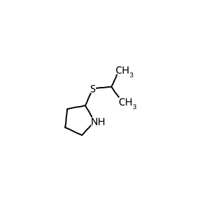 CC(C)SC1CCCN1